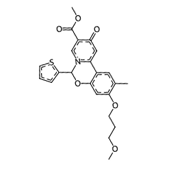 COCCCOc1cc2c(cc1C)-c1cc(=O)c(C(=O)OC)cn1C(c1cccs1)O2